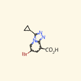 O=C(O)c1cc(Br)cn2c(C3CC3)nnc12